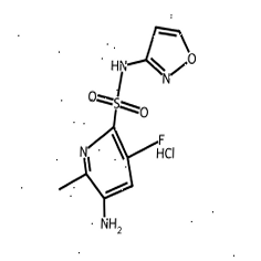 Cc1nc(S(=O)(=O)Nc2ccon2)c(F)cc1N.Cl